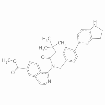 COC(=O)c1ccc2c(N(Cc3ccc(-c4ccc5c(c4)CCN5)cc3)C(=O)CC(C)(C)C)nccc2c1